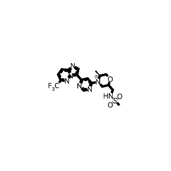 C[C@H]1COC(CNS(C)(=O)=O)CN1c1cc(-c2cnc3ccc(C(F)(F)F)nn23)ncn1